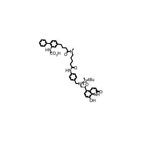 CN(CCCCC(=O)Nc1ccc(CNC[C@@H](O[Si](C)(C)C(C)(C)C)c2ccc(O)c3[nH]c(=O)ccc23)cc1)C(=O)CCCc1ccc(-c2ccccc2)c(NC(=O)O)c1